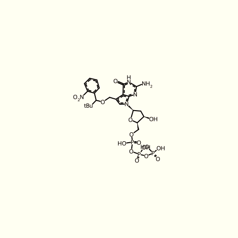 CC(C)(C)C(OCc1cn([C@H]2C[C@@H](O)[C@@H](COP(=O)(O)OP(=O)(O)OP(=O)(O)O)O2)c2nc(N)[nH]c(=O)c12)c1ccccc1[N+](=O)[O-]